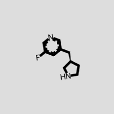 Fc1cncc(C[C@H]2CCNC2)c1